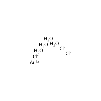 O.O.O.O.[Au+3].[Cl-].[Cl-].[Cl-]